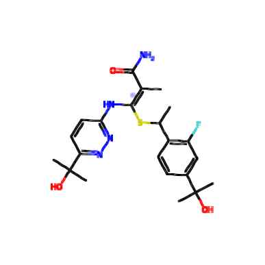 C/C(C(N)=O)=C(/Nc1ccc(C(C)(C)O)nn1)SC(C)c1ccc(C(C)(C)O)cc1F